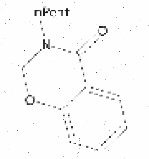 CCCCCN1COc2ccccc2C1=O